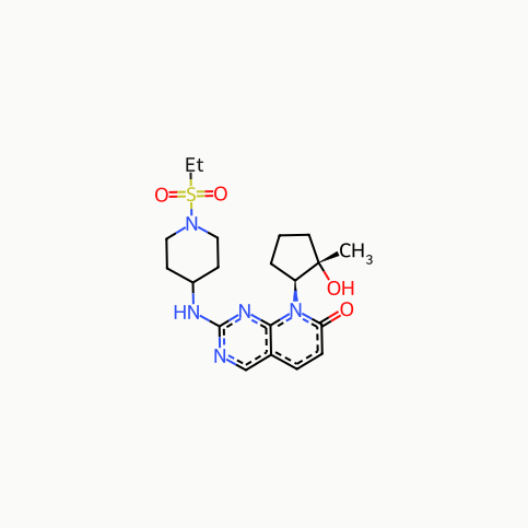 CCS(=O)(=O)N1CCC(Nc2ncc3ccc(=O)n([C@H]4CCC[C@]4(C)O)c3n2)CC1